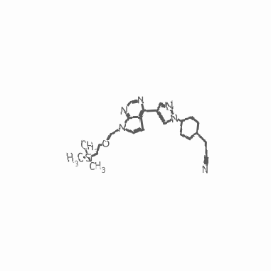 C[Si](C)(C)CCOCn1ccc2c(-c3cnn(C4CCC(CC#N)CC4)c3)ncnc21